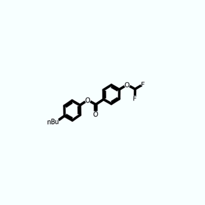 CCCCc1ccc(OC(=O)c2ccc(OC(F)F)cc2)cc1